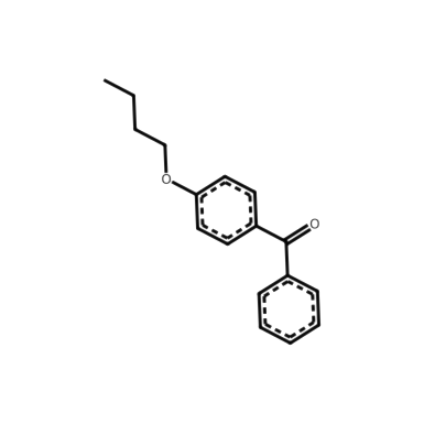 CCCCOc1ccc(C(=O)c2ccccc2)cc1